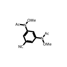 CON(C(C)=O)c1cc(C#N)cc(N(OC)C(C)=O)c1